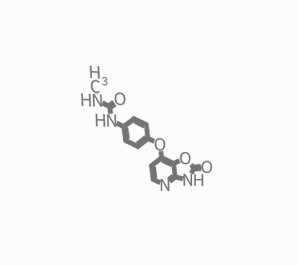 CNC(=O)Nc1ccc(Oc2ccnc3[nH]c(=O)oc23)cc1